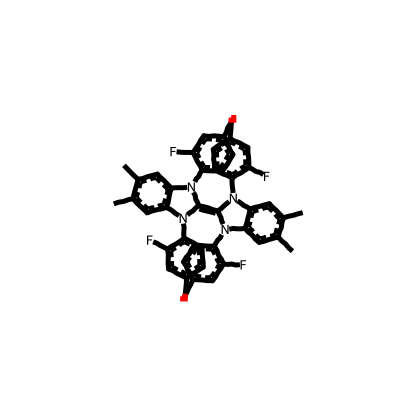 Cc1ccc(N2C(=C3N(c4ccc(C)cc4F)c4cc(C)c(C)cc4N3c3ccc(C)cc3F)N(c3ccc(C)cc3F)c3cc(C)c(C)cc32)c(F)c1